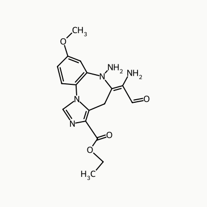 CCOC(=O)c1ncn2c1C/C(=C(/N)C=O)N(N)c1cc(OC)ccc1-2